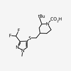 Cn1cc(SCC2CCN(C(=O)O)C(C(C)(C)C)C2)c(C(F)F)n1